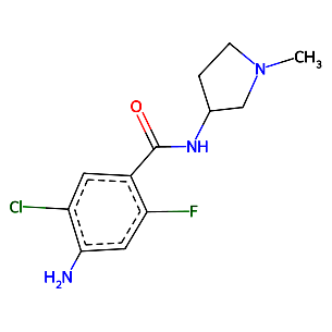 CN1CCC(NC(=O)c2cc(Cl)c(N)cc2F)C1